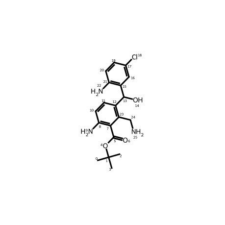 CC(C)(C)OC(=O)c1c(N)ccc(C(O)c2cc(Cl)ccc2N)c1CN